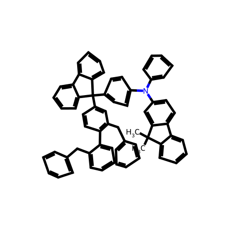 CC1(C)c2ccccc2-c2ccc(N(c3ccccc3)c3ccc(C4(c5ccc(-c6ccccc6Cc6ccccc6)c(Cc6ccccc6)c5)c5ccccc5-c5ccccc54)cc3)cc21